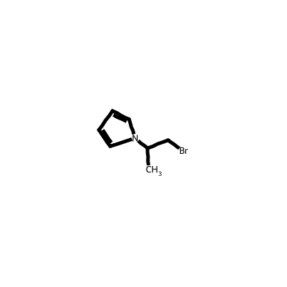 CC(CBr)n1cccc1